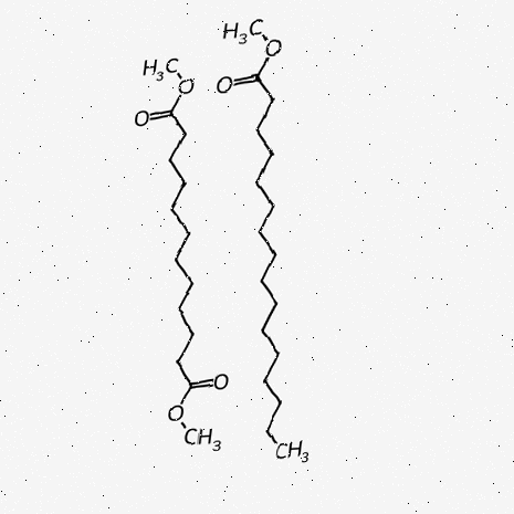 CCCCCCCCCCCCCCCC(=O)OC.COC(=O)CCCCCCCCCCC(=O)OC